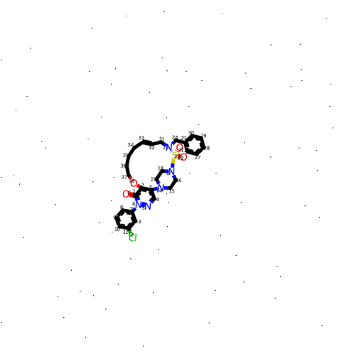 O=c1c2c(cnn1-c1cccc(Cl)c1)N1CCN(CC1)S(=O)(=O)N(Cc1ccccc1)C/C=C/CCCCO2